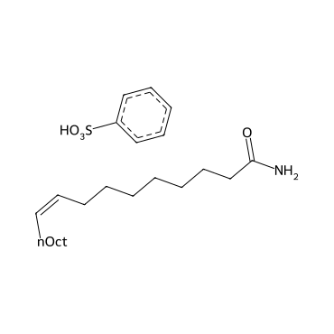 CCCCCCCC/C=C\CCCCCCCC(N)=O.O=S(=O)(O)c1ccccc1